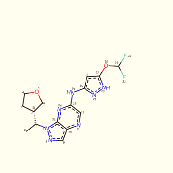 CC([C@@H]1CCOC1)n1ncc2ncc(Nc3cc(OC(F)F)[nH]n3)nc21